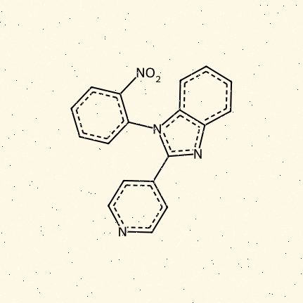 O=[N+]([O-])c1ccccc1-n1c(-c2ccncc2)nc2ccccc21